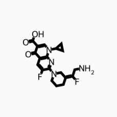 NC/C(F)=C1/CCCN(c2nc3c(cc2F)c(=O)c(C(=O)O)cn3C2CC2)C1